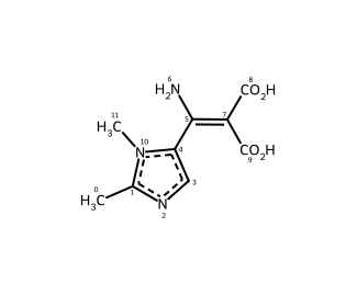 Cc1ncc(C(N)=C(C(=O)O)C(=O)O)n1C